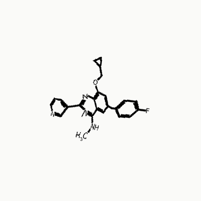 CNc1nc(-c2cccnc2)nc2c(OCC3CC3)cc(-c3ccc(F)cc3)cc12